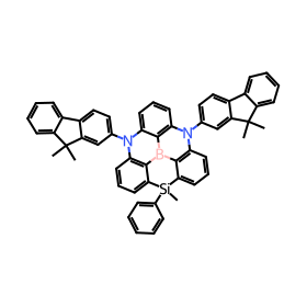 CC1(C)c2ccccc2-c2ccc(N3c4cccc5c4B4c6c3cccc6[Si](C)(c3ccccc3)c3cccc(c34)N5c3ccc4c(c3)C(C)(C)c3ccccc3-4)cc21